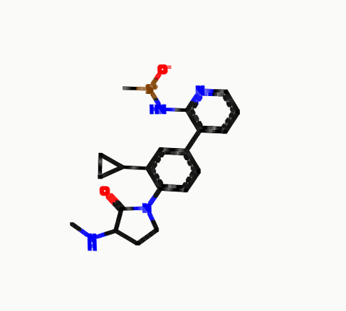 CNC1CCN(c2ccc(-c3cccnc3N[S+](C)[O-])cc2C2CC2)C1=O